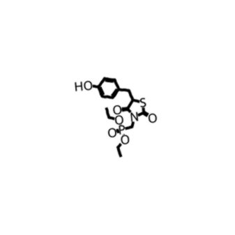 CCOP(=O)(CN1C(=O)SC(Cc2ccc(O)cc2)C1=O)OCC